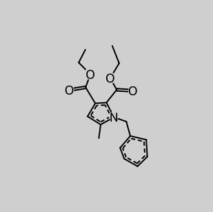 CCOC(=O)c1cc(C)n(Cc2ccccc2)c1C(=O)OCC